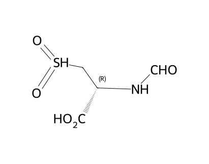 O=CN[C@@H](C[SH](=O)=O)C(=O)O